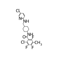 Cc1c(F)c(F)c(Cl)c(C(=O)NC2CCC(CNc3ccc(Cl)cn3)CC2)c1F